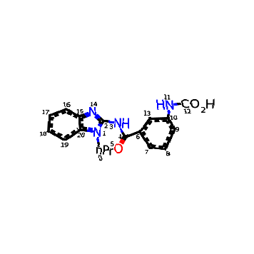 CCCn1c(NC(=O)c2cccc(NC(=O)O)c2)nc2ccccc21